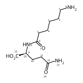 NCCCCCC(=O)N[C@@H](CCC(N)=O)C(=O)O